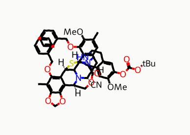 COc1cc2c(cc1OC(=O)OC(C)(C)C)CCN[C@]21CS[C@@H]2c3c(OCc4ccccc4)c(C)c4c(c3[C@H](COC1=O)N1C2[C@H]2c3c(cc(C)c(OC)c3OCc3ccccc3)C[C@@H]([C@@H]1C#N)N2C)OCO4